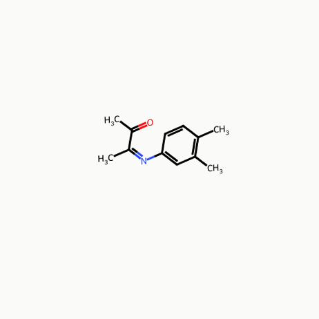 CC(=O)C(C)=Nc1ccc(C)c(C)c1